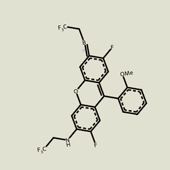 COc1ccccc1C1=c2cc(F)/c(=B\CC(F)(F)F)cc2Oc2cc(NCC(F)(F)F)c(F)cc21